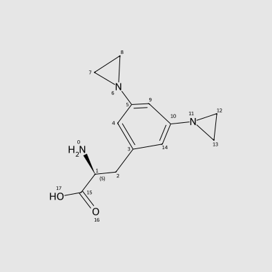 N[C@@H](Cc1cc(N2CC2)cc(N2CC2)c1)C(=O)O